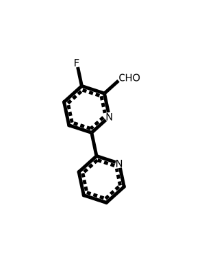 O=Cc1nc(-c2ccccn2)ccc1F